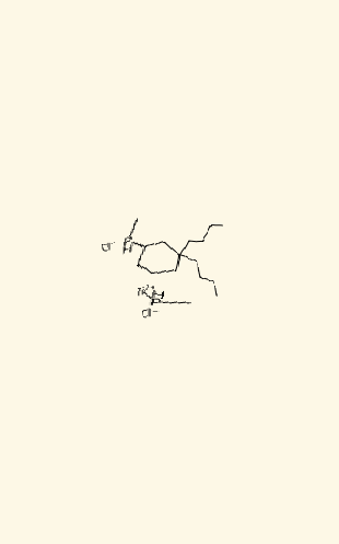 CCCCC1(CCCC)CCCC(PC)C1.C[PH][Ti+2].[Cl-].[Cl-]